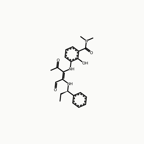 CC[C@@H](N/C(C=O)=C(\Nc1cccc(C(=O)N(C)C)c1O)C(C)=O)c1ccccc1